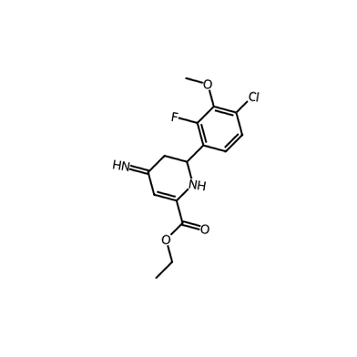 CCOC(=O)C1=CC(=N)CC(c2ccc(Cl)c(OC)c2F)N1